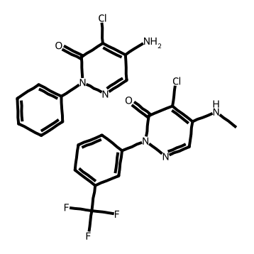 CNc1cnn(-c2cccc(C(F)(F)F)c2)c(=O)c1Cl.Nc1cnn(-c2ccccc2)c(=O)c1Cl